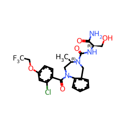 C[C@@H]1CN(C(=O)c2ccc(OCC(F)(F)F)cc2Cl)c2ccccc2CN1C(=O)N[C@H](CO)C(N)=O